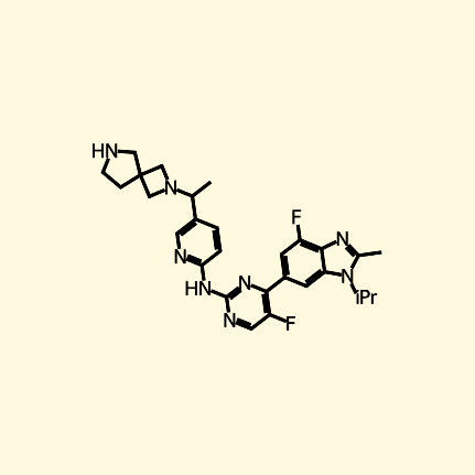 Cc1nc2c(F)cc(-c3nc(Nc4ccc(C(C)N5CC6(CCNC6)C5)cn4)ncc3F)cc2n1C(C)C